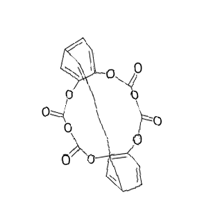 O=C1OC(=O)Oc2ccc3ccc4ccc(c(c4)oc(=O)oc(=O)oc2c3)O1